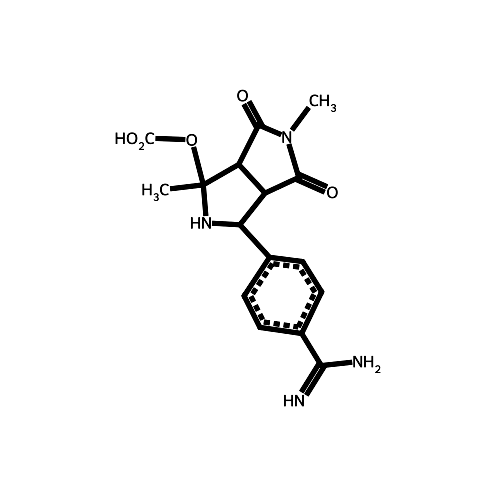 CN1C(=O)C2C(c3ccc(C(=N)N)cc3)NC(C)(OC(=O)O)C2C1=O